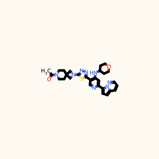 CC(=O)N1CCC2(CC1)CN(c1nnc(-c3cnc(-c4ccc5cccnn45)cc3NC3CCOCC3)s1)C2